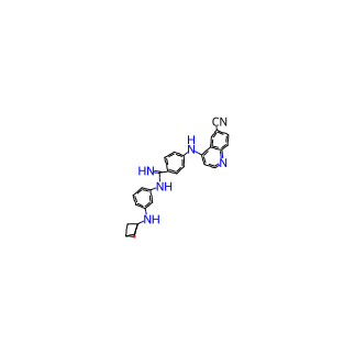 N#Cc1ccc2nccc(Nc3ccc(C(=N)Nc4cccc(NC56CC(C5)C6)c4)cc3)c2c1